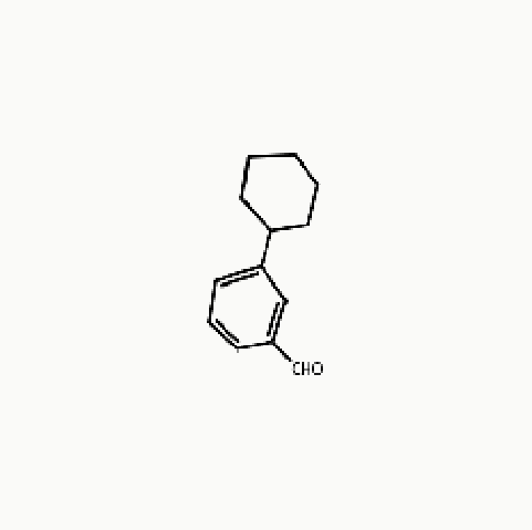 O=Cc1[c]ccc(C2CCCCC2)c1